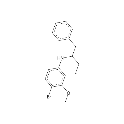 [CH2]CC(Cc1ccccc1)Nc1ccc(Br)c(OC)c1